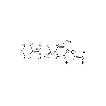 FC(F)=COc1c(F)cc(-c2ccc(C3CCCCC3)cc2)cc1F